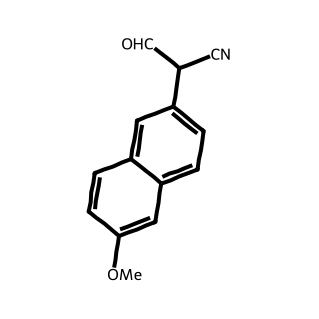 COc1ccc2cc(C(C#N)C=O)ccc2c1